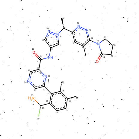 Cc1cc([C@H](C)n2cc(NC(=O)c3cncc(-c4c(C(F)P)ccc(C)c4C)n3)cn2)nnc1N1CCCC1=O